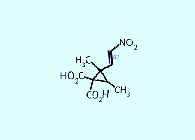 CC1C(C)(/C=C/[N+](=O)[O-])C1(C(=O)O)C(=O)O